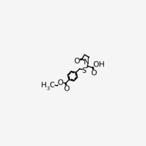 CCOC(=O)c1ccc(CSC(C(=O)O)N2CCC2=O)cc1